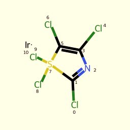 ClC1=NC(Cl)=C(Cl)S1(Cl)Cl.[Ir]